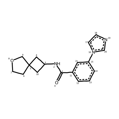 O=C(NC1CC2(CCOC2)C1)c1cccc(-n2ccnc2)c1